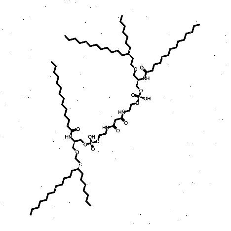 CCCCCCCCCCCCCC(=O)N[C@H](COCC[C@H](CCCCCCC)CCCCCCCCCCCC)COP(=O)(O)OCCNC(=O)CC(=O)NCCOP(=O)(O)OC[C@@H](COCC[C@H](CCCCCCC)CCCCCCCCCCCC)NC(=O)CCCCCCCCCCCCC